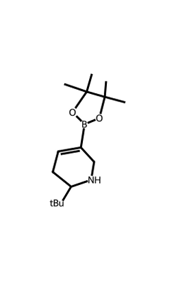 CC(C)(C)C1CC=C(B2OC(C)(C)C(C)(C)O2)CN1